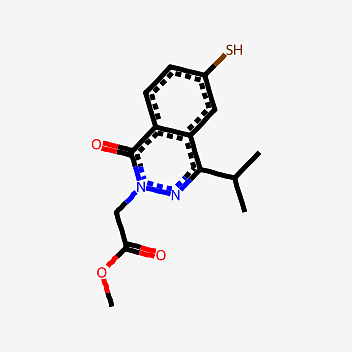 COC(=O)Cn1nc(C(C)C)c2cc(S)ccc2c1=O